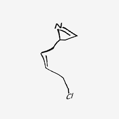 ClC/C=C\C1C=N1